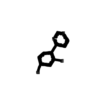 Clc1ccc(-c2ccn[c]n2)c(Cl)c1